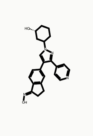 O/N=C1\CCc2cc(-c3cn(C4CCC[C@@H](O)C4)nc3-c3ccncc3)ccc21